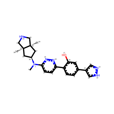 CN(c1ccc(-c2ccc(-c3cn[nH]c3)cc2O)nn1)[C@H]1C[C@H]2CNC[C@H]2C1